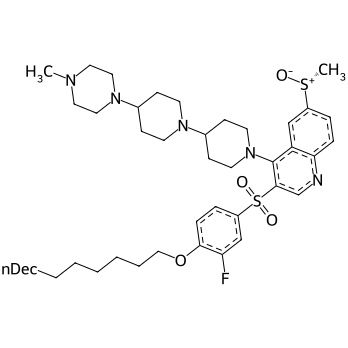 CCCCCCCCCCCCCCCCOc1ccc(S(=O)(=O)c2cnc3ccc([S@@+](C)[O-])cc3c2N2CCC(N3CCC(N4CCN(C)CC4)CC3)CC2)cc1F